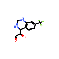 O=CC(=O)C1NCNc2cc(C(F)(F)F)ccc21